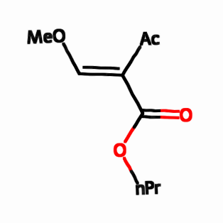 CCCOC(=O)C(=COC)C(C)=O